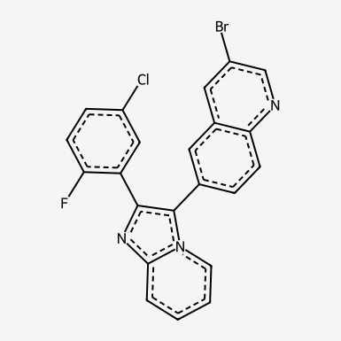 Fc1ccc(Cl)cc1-c1nc2ccccn2c1-c1ccc2ncc(Br)cc2c1